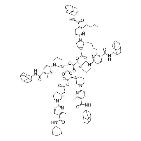 CCCCc1nc(N2CC3C(C2)C3C(=O)OC(C(=O)OC(C(=O)OC(C(=O)OC(=O)C[C@@H]2CCCN(c3ccc(C(=O)NC4CCCCC4)c(C)n3)C2)[C@H]2CCCN(c3ccc(C(=O)NC45CC6CC(CC(C6)C4)C5)c(C)n3)C2)[C@H]2CCCN(c3ccc(C(=O)NC4C5CC6CC(C5)CC4C6)c(C)n3)C2)[C@H]2CCCN(c3ccc(C(=O)NC4C5CC6CC(C5)CC4C6)c(CCCC)n3)C2)ccc1C(=O)NC1C2CC3CC(C2)CC1C3